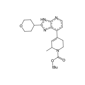 CC1C=C(c2ccnc3[nH]c(C4CCOCC4)nc23)CCN1C(=O)OC(C)(C)C